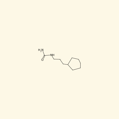 NC(=O)NC[CH]CC1CCCCC1